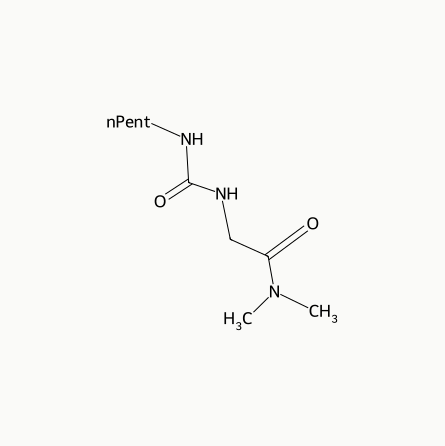 CCCCCNC(=O)NCC(=O)N(C)C